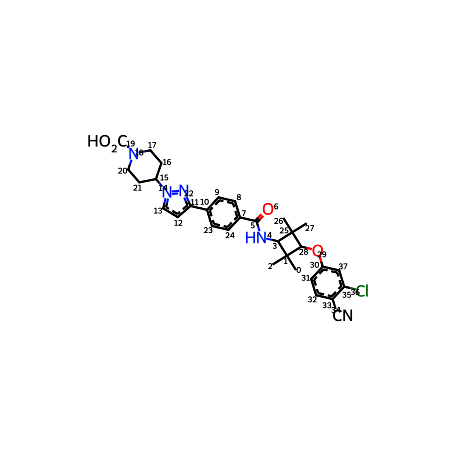 CC1(C)C(NC(=O)c2ccc(-c3ccn(C4CCN(C(=O)O)CC4)n3)cc2)C(C)(C)C1Oc1ccc(C#N)c(Cl)c1